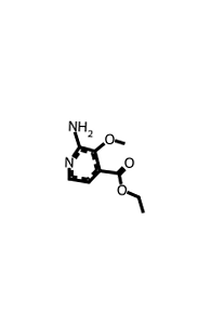 CCOC(=O)c1ccnc(N)c1OC